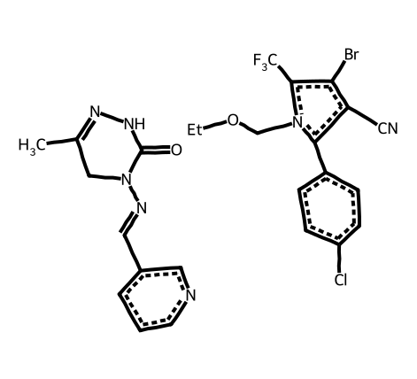 CC1=NNC(=O)N(/N=C/c2cccnc2)C1.CCOCn1c(-c2ccc(Cl)cc2)c(C#N)c(Br)c1C(F)(F)F